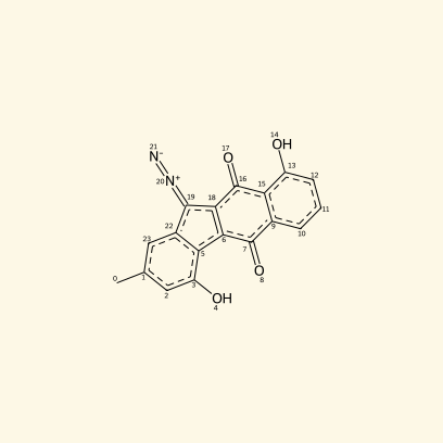 Cc1cc(O)c2c3c(=O)c4cccc(O)c4c(=O)c=3c(=[N+]=[N-])c2c1